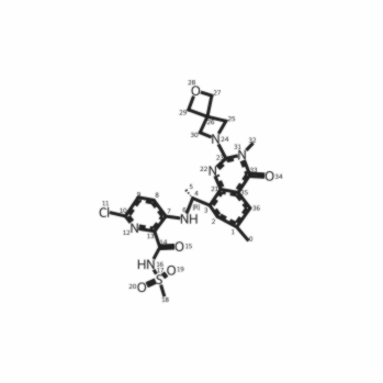 Cc1cc([C@@H](C)Nc2ccc(Cl)nc2C(=O)NS(C)(=O)=O)c2nc(N3CC4(COC4)C3)n(C)c(=O)c2c1